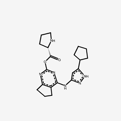 O=C(Oc1nc2c(c(Nc3cc(C4CCCC4)[nH]n3)n1)CCC2)[C@@H]1CCCN1